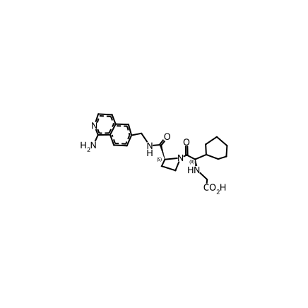 Nc1nccc2cc(CNC(=O)[C@@H]3CCN3C(=O)[C@H](NCC(=O)O)C3CCCCC3)ccc12